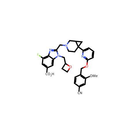 COc1cc(C#N)ccc1COc1cccc(C23CCN(Cc4nc5c(F)cc(C(=O)O)cc5n4CC4CCO4)CC2C3)n1